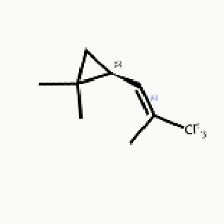 C/C(=C\[C@@H]1CC1(C)C)C(F)(F)F